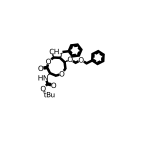 C[C@@H]1OC(=O)[C@@H](NC(=O)OC(C)(C)C)COC[C@H](OCOCc2ccccc2)[C@H]1Cc1ccccc1